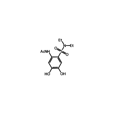 CCN(CC)S(=O)(=O)c1cc(O)c(O)cc1NC(C)=O